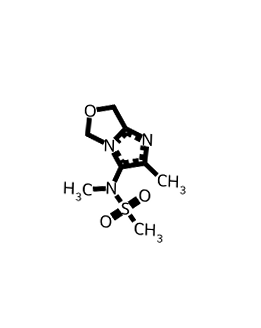 Cc1nc2n(c1N(C)S(C)(=O)=O)COC2